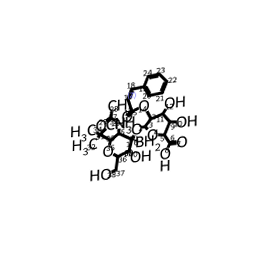 B[C@@]1(OC2OC(C(=O)O)C(O)C(O)C2OC(=O)/C=C\c2ccccc2)C(NC(C)=O)C(C(C)(C)C)OC(CO)[C@H]1O